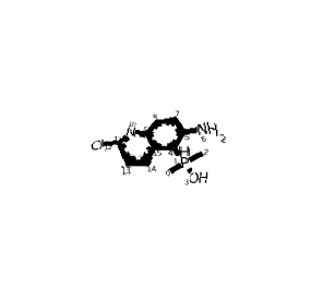 C[PH](C)(O)c1c(N)ccc2nc(Cl)ccc12